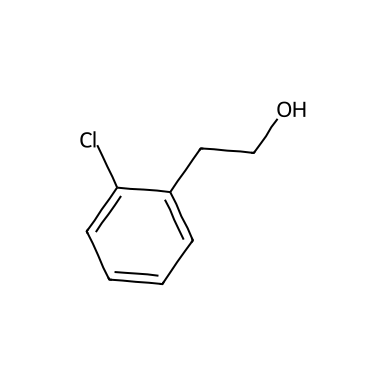 OCCc1ccccc1Cl